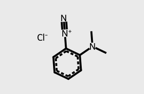 CN(C)c1ccccc1[N+]#N.[Cl-]